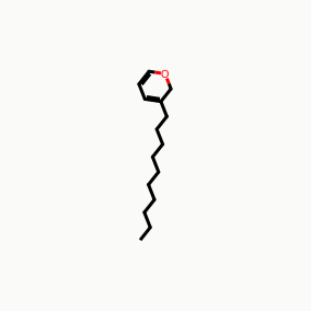 CCCCCCCCCCC1=CC=COC1